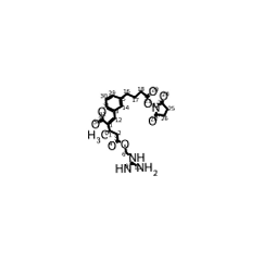 CC(CC(=O)OCNC(=N)N)c1cc2cc(CCCC(=O)ON3C(=O)CCC3=O)ccc2oc1=O